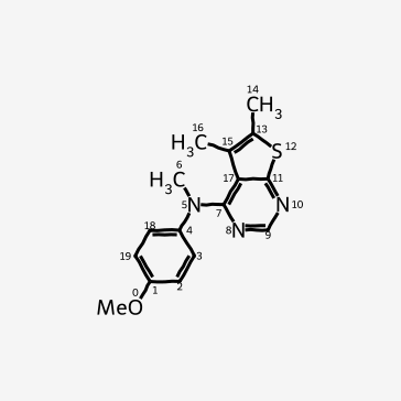 COc1ccc(N(C)c2ncnc3sc(C)c(C)c23)cc1